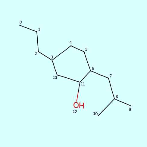 CCCC1CCC(CC(C)C)C(O)C1